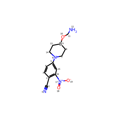 N#Cc1ccc(N2CCB(OCN)CC2)cc1[N+](=O)[O-]